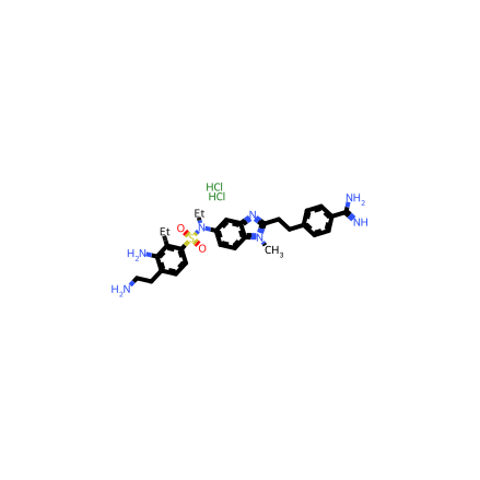 CCc1c(S(=O)(=O)N(CC)c2ccc3c(c2)nc(CCc2ccc(C(=N)N)cc2)n3C)ccc(CCN)c1N.Cl.Cl